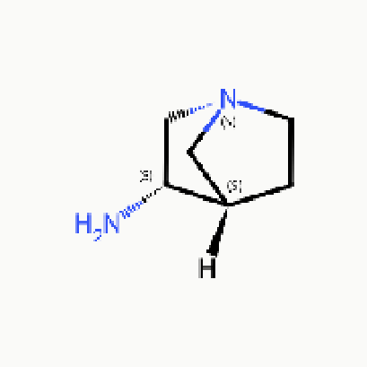 N[C@@H]1C[N@]2CC[C@H]1C2